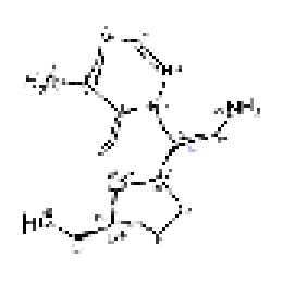 C=C1C(N)=NC=NN1/C(=C\N)[C@H]1CC[C@@H](CO)O1